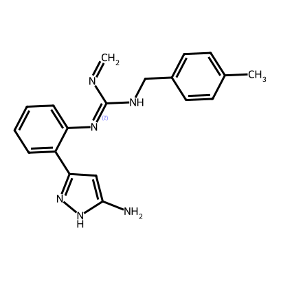 C=N/C(=N\c1ccccc1-c1cc(N)[nH]n1)NCc1ccc(C)cc1